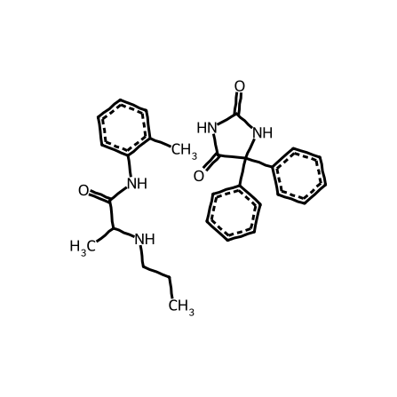 CCCNC(C)C(=O)Nc1ccccc1C.O=C1NC(=O)C(c2ccccc2)(c2ccccc2)N1